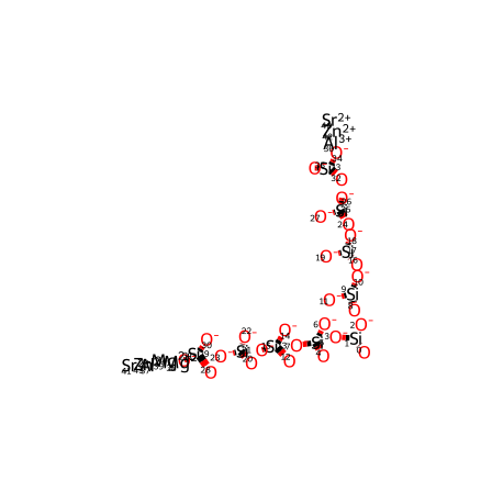 O=[Si]([O-])[O-].O=[Si]([O-])[O-].O=[Si]([O-])[O-].O=[Si]([O-])[O-].O=[Si]([O-])[O-].O=[Si]([O-])[O-].O=[Si]([O-])[O-].O=[Si]([O-])[O-].O=[Si]([O-])[O-].[Al+3].[Al+3].[Mg+2].[Mg+2].[Sr+2].[Sr+2].[Zn+2].[Zn+2]